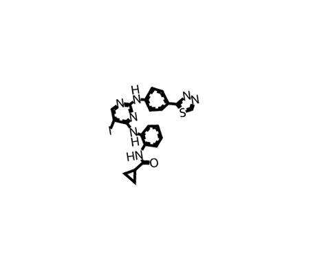 O=C(Nc1ccccc1Nc1nc(Nc2ccc(-c3nncs3)cc2)ncc1I)C1CC1